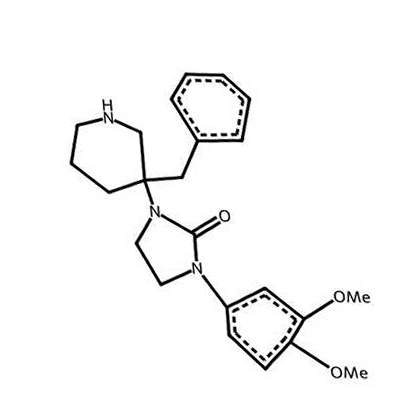 COc1ccc(N2CCN(C3(Cc4ccccc4)CCCNC3)C2=O)cc1OC